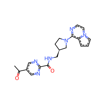 CC(=O)c1cnc(C(=O)NC[C@H]2CCN(c3nccn4cccc34)C2)nc1